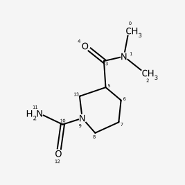 CN(C)C(=O)C1CCCN(C(N)=O)C1